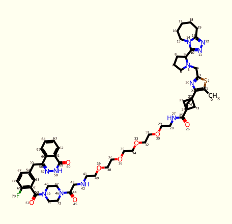 Cc1sc(CN2CCCC2c2nnc3n2CCCCC3)nc1C12CC(C(=O)NCCOCCOCCOCCOCCNCC(=O)N3CCN(C(=O)c4cc(Cc5n[nH]c(=O)c6ccccc56)ccc4F)CC3)(C1)C2